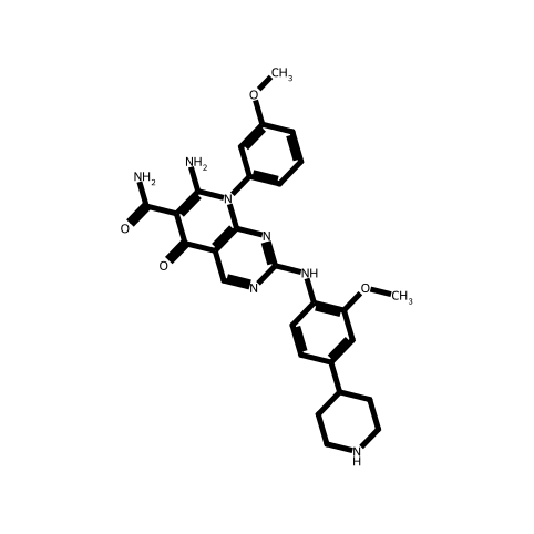 COc1cccc(-n2c(N)c(C(N)=O)c(=O)c3cnc(Nc4ccc(C5CCNCC5)cc4OC)nc32)c1